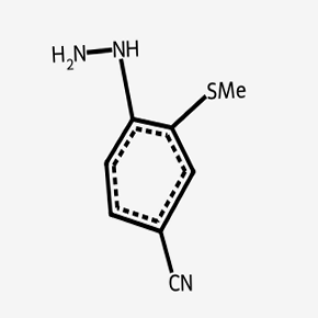 CSc1cc(C#N)ccc1NN